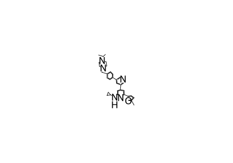 Cc1ccc(-c2cc(-c3cncc(-c4ccc(CN5CCN(C(C)C)CC5)cc4)c3)cc(NC3CC3)n2)o1